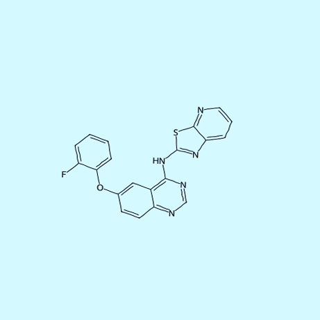 Fc1ccccc1Oc1ccc2ncnc(Nc3nc4cccnc4s3)c2c1